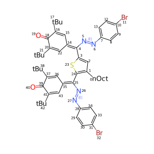 CCCCCCCCc1cc(C(/N=N/c2ccc(Br)cc2)=C2C=C(C(C)(C)C)C(=O)C(C(C)(C)C)=C2)sc1C(/N=N/c1ccc(Br)cc1)=C1C=C(C(C)(C)C)C(=O)C(C(C)(C)C)=C1